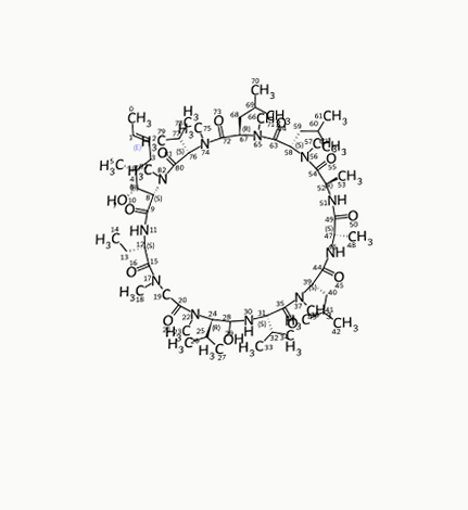 C/C=C/C[C@@H](C)[C@@H](O)[C@H]1C(=O)N[C@@H](CC)C(=O)N(C)CC(=O)N(C)[C@H](C(C)C)C(O)N[C@@H](C(C)C)C(=O)N(C)[C@@H](CC(C)C)C(=O)N[C@@H](C)C(=O)N[C@H](C)C(=O)N(C)[C@@H](CC(C)C)C(=O)N(C)[C@H](CC(C)C)C(=O)N(C)[C@@H](C(C)C)C(=O)N1C